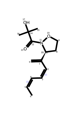 C=C(/C=C\C=C/C)[C@@H]1CCON1C(=O)C(C)(C)O